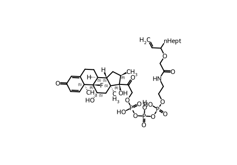 C=CC(CCCCCCC)OCC(=O)NCCOP(=O)(O)OP(=O)(O)OP(=O)(O)OCC(=O)[C@@]1(O)[C@H](C)C[C@H]2[C@@H]3CCC4=CC(=O)C=C[C@]4(C)[C@@]3(F)[C@@H](O)C[C@@]21C